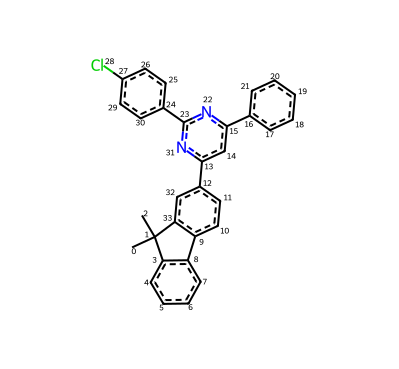 CC1(C)c2ccccc2-c2ccc(-c3cc(-c4ccccc4)nc(-c4ccc(Cl)cc4)n3)cc21